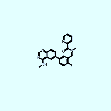 CNc1ncnc2ccc(-c3ccc(F)c(CN(C)C(=O)c4ccccn4)c3)cc12